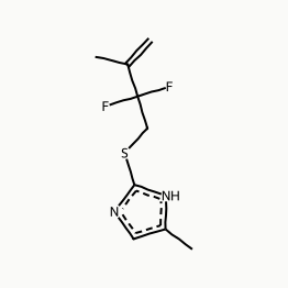 C=C(C)C(F)(F)CSc1ncc(C)[nH]1